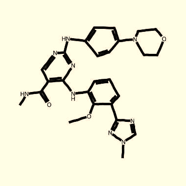 CNC(=O)c1cnc(Nc2ccc(N3CCOCC3)cc2)nc1Nc1cccc(-c2ncn(C)n2)c1OC